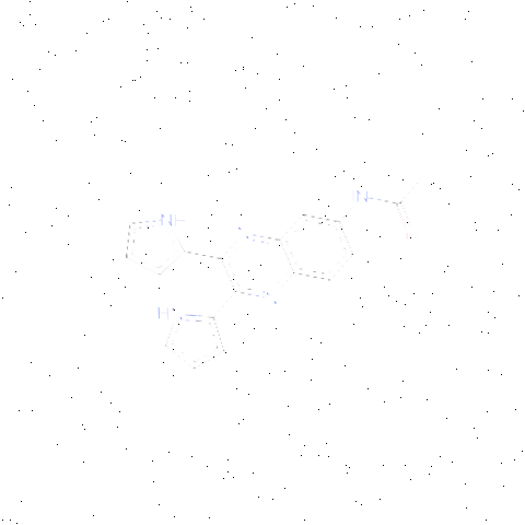 CC(=O)Nc1ccc2nc(-c3ccc[nH]3)c(-c3ccc[nH]3)nc2c1